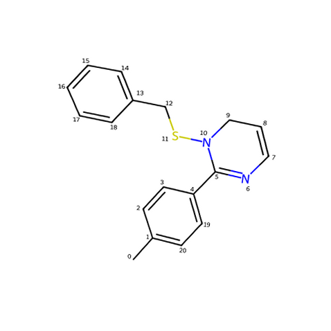 Cc1ccc(C2=NC=CCN2SCc2ccccc2)cc1